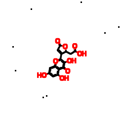 O=C(O)CC1OC(=O)C=C1c1oc2cc(O)cc(O)c2c(=O)c1O